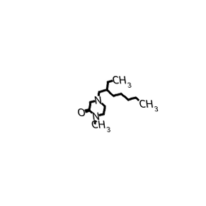 CCCCCC(CC)CN1CCN(C)C(=O)C1